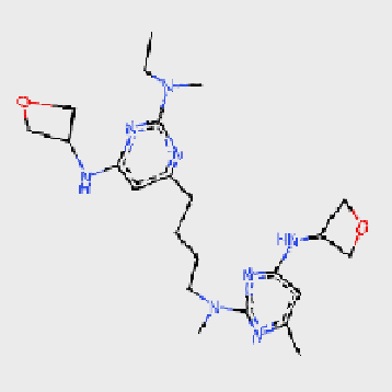 CCN(C)c1nc(CCCCN(C)c2nc(C)cc(NC3COC3)n2)cc(NC2COC2)n1